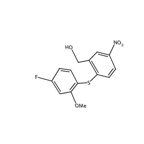 COc1cc(F)ccc1Sc1ccc([N+](=O)[O-])cc1CO